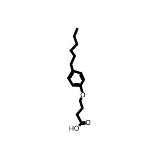 CCCCCCc1ccc(OCCCC(=O)O)cc1